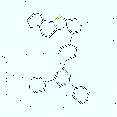 c1ccc(-c2nc(-c3ccccc3)nc(-c3ccc(-c4cccc5sc6c7ccccc7ccc6c45)cc3)n2)cc1